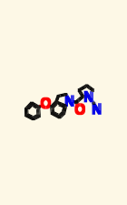 N#CN1CCCC1C(=O)N1CCc2c(Oc3ccccc3)cccc21